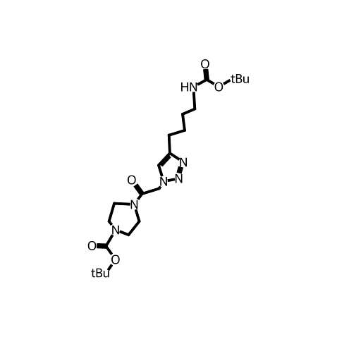 CC(C)(C)OC(=O)NCCCCc1cn(CC(=O)N2CCN(C(=O)OC(C)(C)C)CC2)nn1